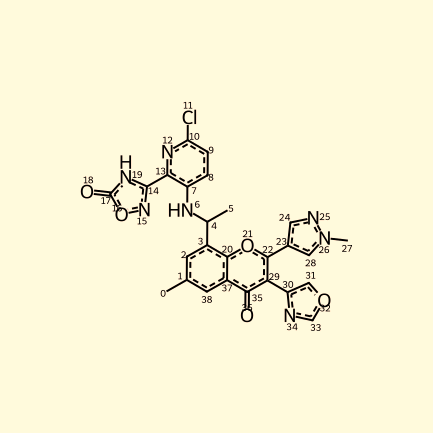 Cc1cc(C(C)Nc2ccc(Cl)nc2-c2noc(=O)[nH]2)c2oc(-c3cnn(C)c3)c(-c3cocn3)c(=O)c2c1